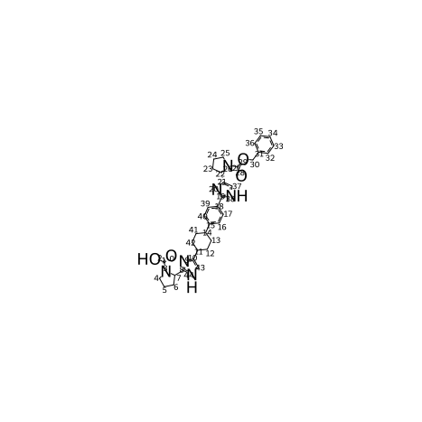 O=C(O)N1CCCC1c1nc(C2CCC(c3ccc(-c4nc([C@@H]5CCCN5C(=O)OCc5ccccc5)c[nH]4)cc3)CC2)c[nH]1